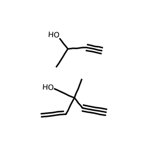 C#CC(C)(O)C=C.C#CC(C)O